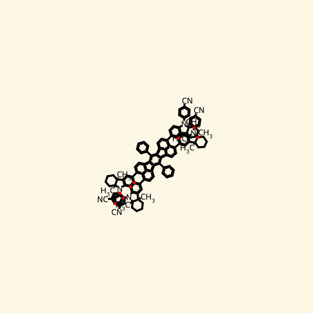 CC12CCCCC1(C)N(c1ccc(C#N)cc1)c1ccc(-c3ccc4c5c(-c6ccccc6)c6c7ccc(-c8ccc9c(c8)C8(C)CCCCC8(C)N9c8ccc(C#N)cc8)c8c(-c9ccc%10c(c9)C9(C)CCCCC9(C)N%10c9ccc(C#N)cc9)ccc(c6c(-c6ccccc6)c5c5ccc(-c6ccc9c(c6)C6(C)CCCCC6(C)N9c6ccc(C#N)cc6)c3c45)c87)cc12